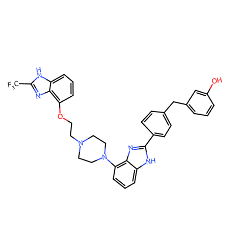 Oc1cccc(Cc2ccc(-c3nc4c(N5CCN(CCOc6cccc7[nH]c(C(F)(F)F)nc67)CC5)cccc4[nH]3)cc2)c1